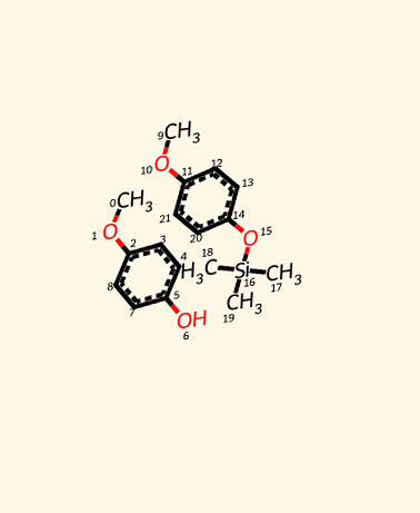 COc1ccc(O)cc1.COc1ccc(O[Si](C)(C)C)cc1